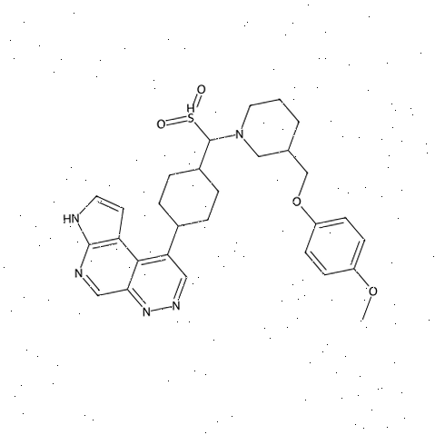 COc1ccc(OCC2CCCN(C(C3CCC(c4cnnc5cnc6[nH]ccc6c45)CC3)[SH](=O)=O)C2)cc1